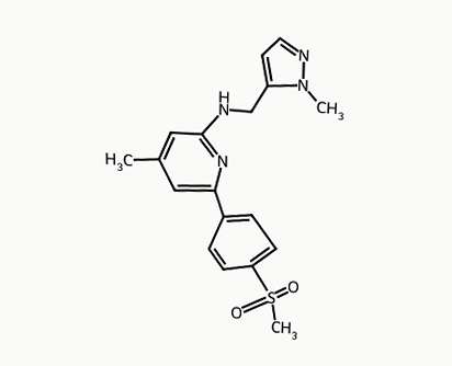 Cc1cc(NCc2ccnn2C)nc(-c2ccc(S(C)(=O)=O)cc2)c1